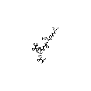 C=C(C)C(=O)OCC(COC(=O)C(=C)C)OC(=O)CCC(=O)OCC(O)COCCC[Si](C)=O